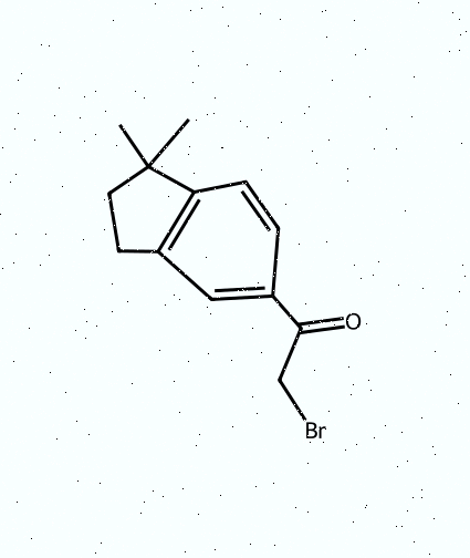 CC1(C)CCc2cc(C(=O)CBr)ccc21